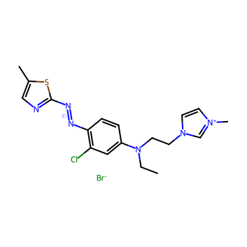 CCN(CCn1cc[n+](C)c1)c1ccc(/N=N/c2ncc(C)s2)c(Cl)c1.[Br-]